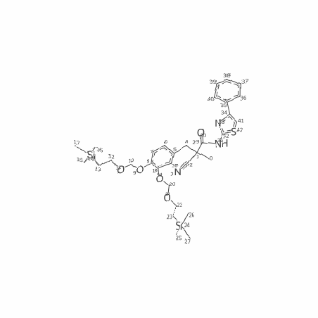 CC(C#N)(Cc1ccc(OCOCC[Si](C)(C)C)c(OCOCC[Si](C)(C)C)c1)C(=O)Nc1nc(-c2ccccc2)cs1